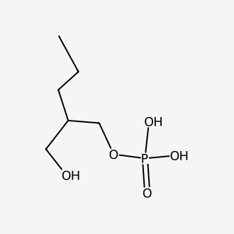 CCCC(CO)COP(=O)(O)O